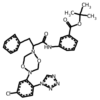 CC(C)(C)OC(=O)c1cccc(NC(=O)C(Cc2ccccc2)N2CON(c3cc(Cl)ccc3-n3cnnn3)CO2)c1